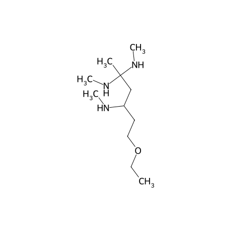 CCOCCC(CC(C)(NC)NC)NC